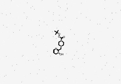 CC(C)(C)OOC(=O)N1CCN(CC2=NC=CCN2O)CC1